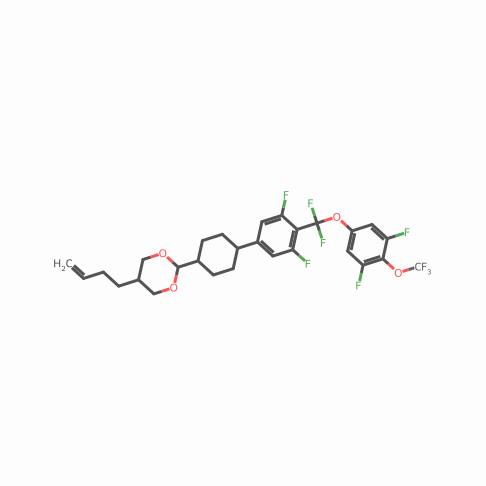 C=CCCC1COC(C2CCC(c3cc(F)c(C(F)(F)Oc4cc(F)c(OC(F)(F)F)c(F)c4)c(F)c3)CC2)OC1